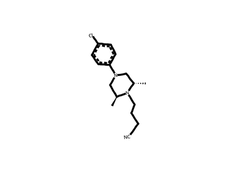 C[C@H]1CN(c2ccc(Cl)cc2)C[C@H](C)N1CCCC#N